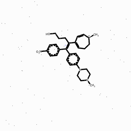 C[C@@H]1C=CC(/C(CCCO)=C(\c2ccc(N3CCN(C)CC3)cc2)c2ccc([N+](=O)[O-])cc2)=CCC1